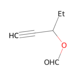 C#CC(CC)OC=O